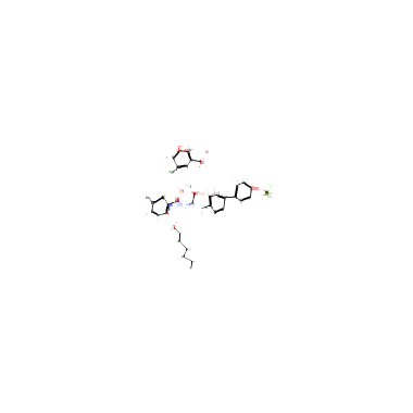 CCCCCCCOc1ccc(Cl)cc1C(=O)N[C@@H](Cc1ccc(-c2ccc(OC(F)(F)F)cc2)cc1)C(=O)O.O=C(O)c1cc(Cl)ccc1O